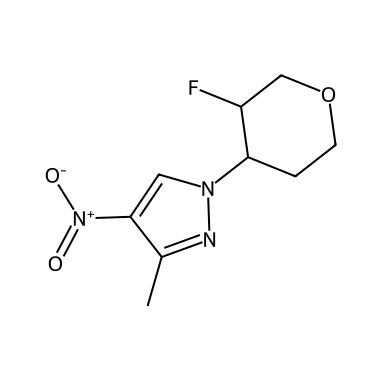 Cc1nn(C2CCOCC2F)cc1[N+](=O)[O-]